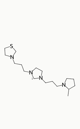 CC1CCCN1CCCN1[C]N(CCCN2CCSC2)CC1